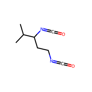 CC(C)C(CCN=C=O)N=C=O